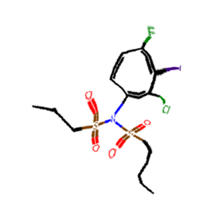 CCCS(=O)(=O)N(c1ccc(F)c(I)c1Cl)S(=O)(=O)CCC